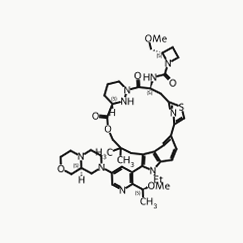 CCn1c(-c2cc(N3CCN4CCOC[C@@H]4C3)cnc2[C@H](C)OC)c2c3cc(ccc31)-c1csc(n1)C[C@H](NC(=O)N1CC[C@H]1COC)C(=O)N1CCC[C@H](N1)C(=O)OCC(C)(C)C2